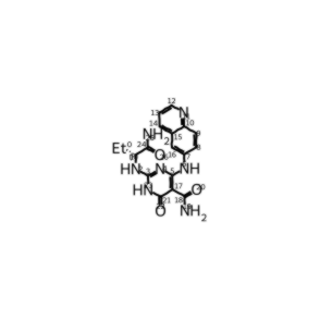 CC[C@@H](Nc1nc(Nc2ccc3ncccc3c2)c(C(N)=O)c(=O)[nH]1)C(N)=O